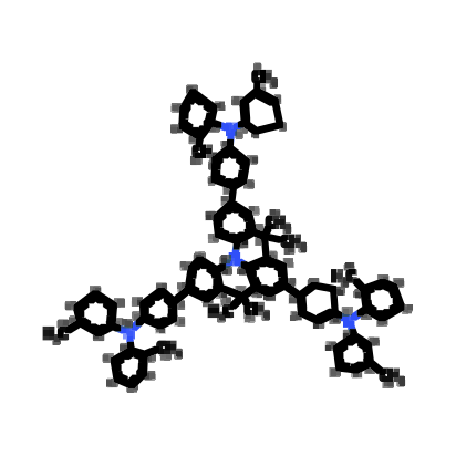 CC1=CCCC(N(c2ccc(-c3ccc4c(c3)C(C)(C)c3cc(C5=CC=C(N(c6cccc(C)c6)c6ccccc6C)CC5)cc5c3N4c3ccc(-c4ccc(N(c6cccc(C)c6)c6ccccc6C)cc4)cc3C5(C)C)cc2)c2ccccc2C)=C1